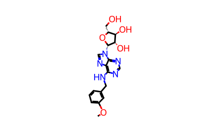 COc1cccc(CNc2ncnc3c2ncn3[C@@H]2O[C@H](CO)[C@@H](O)[C@@H]2O)c1